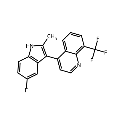 Cc1[nH]c2ccc(F)cc2c1-c1ccnc2c(C(F)(F)F)cccc12